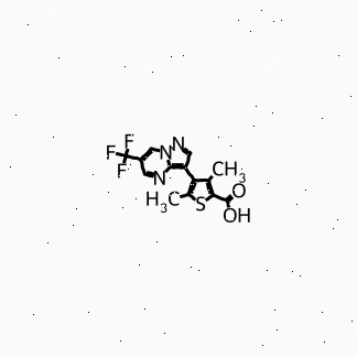 Cc1sc(C(=O)O)c(C)c1-c1cnn2cc(C(F)(F)F)cnc12